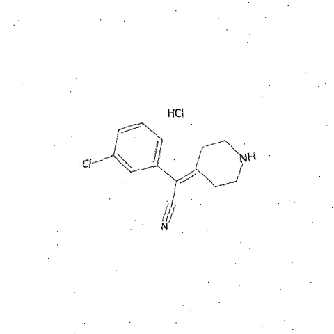 Cl.N#CC(=C1CCNCC1)c1cccc(Cl)c1